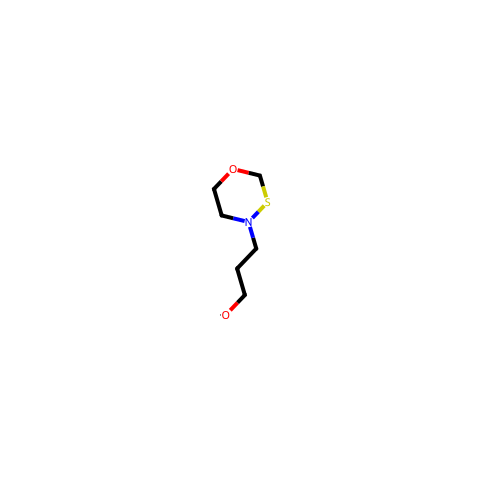 [O]CCCN1CCOCS1